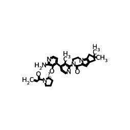 C=CC(=O)N1CCC[C@H]1COc1c(-c2ccnc(N3CCn4c(cc5c4CC(C)(C)C5)C3=O)c2C)ccnc1N